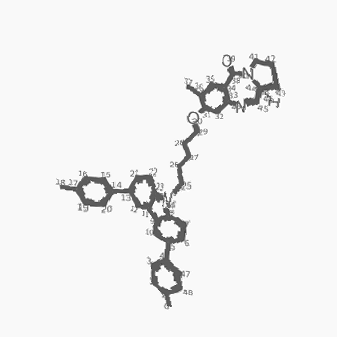 Cc1ccc(-c2ccc3c(c2)c2cc(-c4ccc(C)cc4)ccc2n3CCCCCOc2cc3c(cc2C)C(=O)N2CCC[C@H]2C=N3)cc1